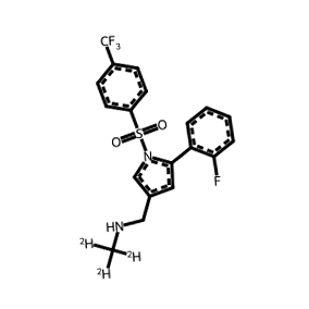 [2H]C([2H])([2H])NCc1cc(-c2ccccc2F)n(S(=O)(=O)c2ccc(C(F)(F)F)cc2)c1